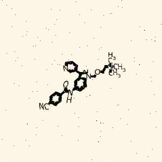 C[Si](C)(C)CCOCn1nc(-c2cccnc2)c2cc(NC(=O)c3ccc(C#N)cc3)ccc21